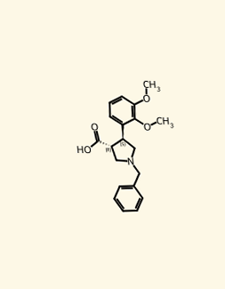 COc1cccc([C@H]2CN(Cc3ccccc3)C[C@@H]2C(=O)O)c1OC